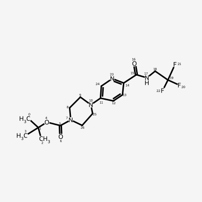 CC(C)(C)OC(=O)N1CCN(c2ccc(C(=O)NCC(F)(F)F)nc2)CC1